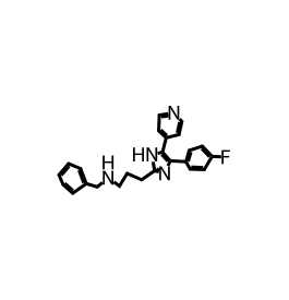 Fc1ccc(-c2nc(CCCNCc3ccccc3)[nH]c2-c2ccncc2)cc1